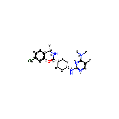 Cc1cnc(N[C@H]2CC[C@@H](C(=O)N[C@@H](C)c3ccc(Cl)cc3)CC2)nc1N(C)C